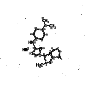 Br.Cc1nc2ncccn2c1-c1csc(Nc2ccc(C(C)C)cc2)n1